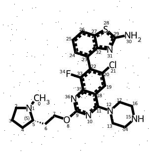 CN1CCC[C@H]1CCOc1nc(N2CCNCC2)c2cc(Cl)c(-c3cccc4sc(N)nc34)c(F)c2n1